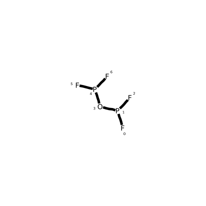 FP(F)OP(F)F